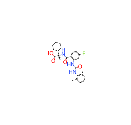 Cc1cccc(C)c1NC(=O)Nc1cc(F)ccc1C(=O)N[C@](C)(C(=O)O)C1CCCCC1